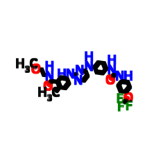 COCCNC(=O)c1cc(Nc2nccc(Nc3ccc(NC(=O)Nc4ccc(OC(F)(F)F)cc4)cc3)n2)ccc1C